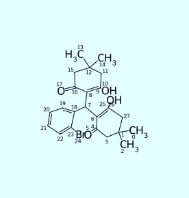 CC1(C)CC(=O)C(C(C2=C(O)CC(C)(C)CC2=O)c2ccccc2Br)=C(O)C1